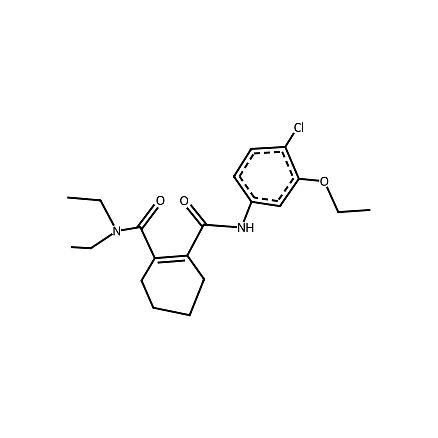 CCOc1cc(NC(=O)C2=C(C(=O)N(CC)CC)CCCC2)ccc1Cl